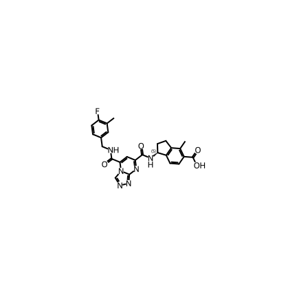 Cc1cc(CNC(=O)c2cc(C(=O)N[C@H]3CCc4c3ccc(C(=O)O)c4C)nc3nncn23)ccc1F